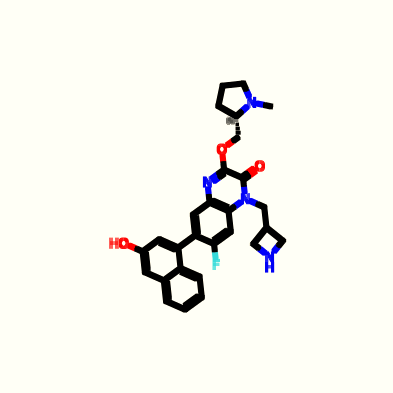 CN1CCC[C@H]1COc1nc2cc(-c3cc(O)cc4ccccc34)c(F)cc2n(CC2CNC2)c1=O